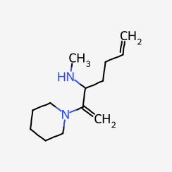 C=CCCC(NC)C(=C)N1CCCCC1